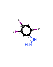 NNc1cc(I)c(I)cc1I